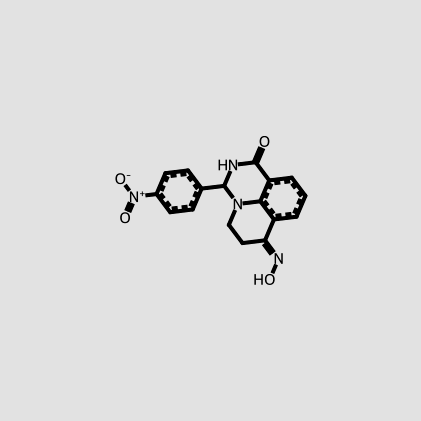 O=C1NC(c2ccc([N+](=O)[O-])cc2)N2CCC(=NO)c3cccc1c32